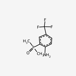 CP(C)(=O)c1cc(C(F)(F)F)ccc1N